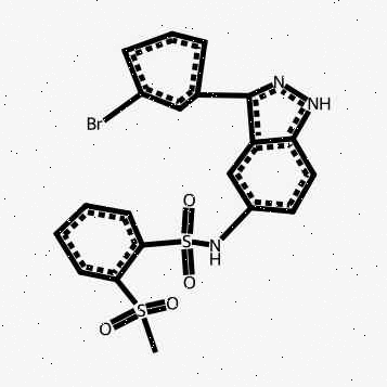 CS(=O)(=O)c1ccccc1S(=O)(=O)Nc1ccc2[nH]nc(-c3cccc(Br)c3)c2c1